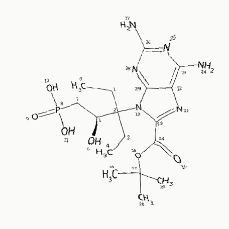 CCC(CC)([C@@H](O)CP(=O)(O)O)n1c(C(=O)OC(C)(C)C)nc2c(N)nc(N)nc21